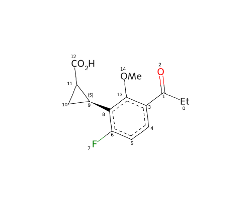 CCC(=O)c1ccc(F)c([C@H]2CC2C(=O)O)c1OC